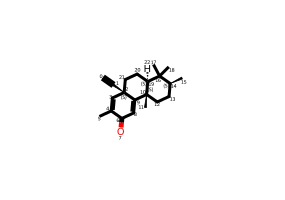 C#C[C@]12C=C(C)C(=O)C=C1[C@@]1(C)CC[C@H](C)C(C)(C)[C@@H]1CC2